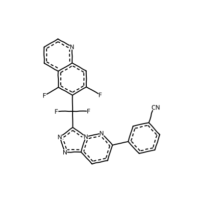 N#Cc1cccc(-c2ccc3nnc(C(F)(F)c4c(F)cc5ncccc5c4F)n3n2)c1